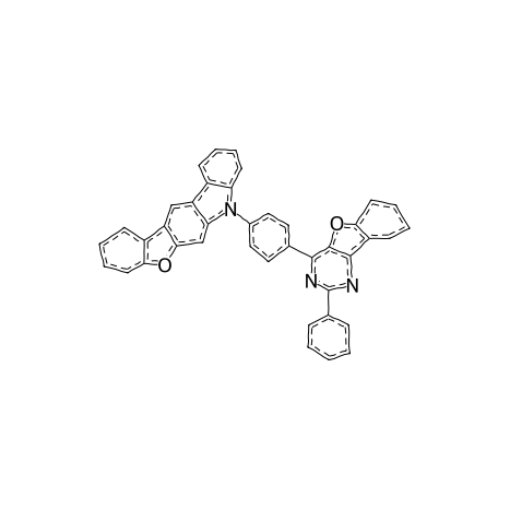 c1ccc(-c2nc(-c3ccc(-n4c5ccccc5c5cc6c(cc54)oc4ccccc46)cc3)c3oc4ccccc4c3n2)cc1